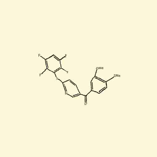 COc1ccc(C(=O)c2ccc(Sc3c(F)c(F)cc(F)c3F)nc2)cc1OC